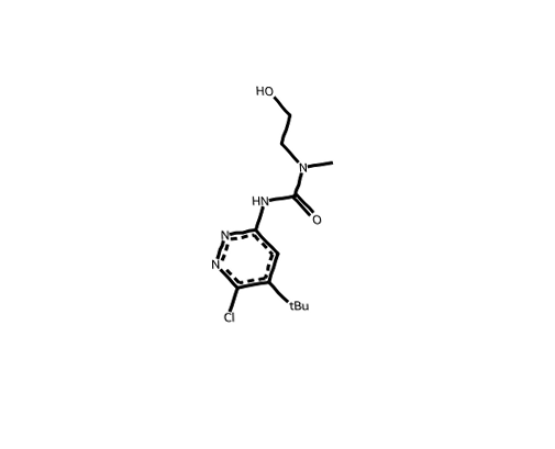 CN(CCO)C(=O)Nc1cc(C(C)(C)C)c(Cl)nn1